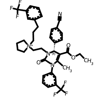 CCOC(=O)C1=C(C)N(c2cccc(C(F)(F)F)c2)C(=O)N(CC[N+]2(CCCc3cccc(C(F)(F)F)c3)CCCC2)[C@@H]1c1ccc(C#N)cc1